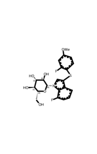 COc1ccc(Sc2cn([C@@H]3O[C@H](CO)[C@@H](O)[C@H](O)[C@H]3O)c3c(F)cccc23)c(F)c1